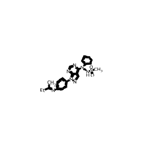 [CH2]C(CC)=Nc1ccc(-n2ncc3c(N(NS(C)(=O)=O)c4ccccc4)ncnc32)cc1